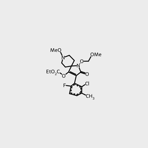 CCOC(=O)OC1=C(c2c(F)ccc(C)c2Cl)C(=O)N(OCOC)C12CCN(OC)CC2